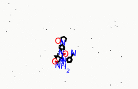 N#Cc1cccc(-n2nc(C(N)=O)c3c2C(=O)N(c2ccc(N4CCCCC4=O)cc2)CC32CC2)c1